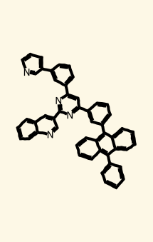 c1ccc(-c2c3ccccc3c(-c3cccc(-c4cc(-c5cccc(-c6cccnc6)c5)nc(-c5cnc6ccccc6c5)n4)c3)c3ccccc23)cc1